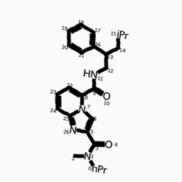 CCCN(C)C(=O)c1cn2c(C(=O)NCC(CC(C)C)c3ccccc3)cccc2n1